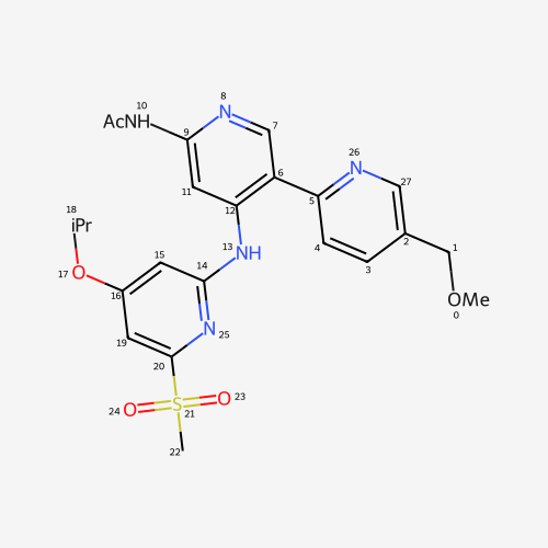 COCc1ccc(-c2cnc(NC(C)=O)cc2Nc2cc(OC(C)C)cc(S(C)(=O)=O)n2)nc1